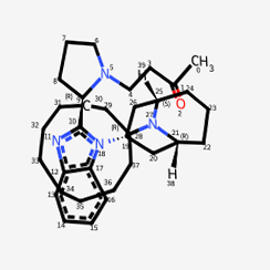 CC(=O)CCN1CCC[C@@H]1c1nc2ccccc2n1[C@H]1C[C@H]2CCC[C@@H](C1)N2C1CCCCCCCCC1